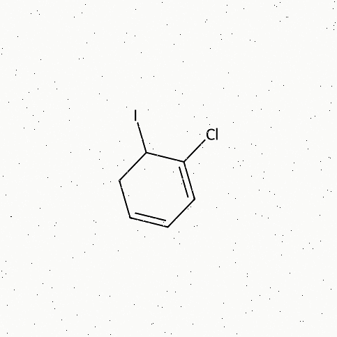 ClC1=CC=CCC1I